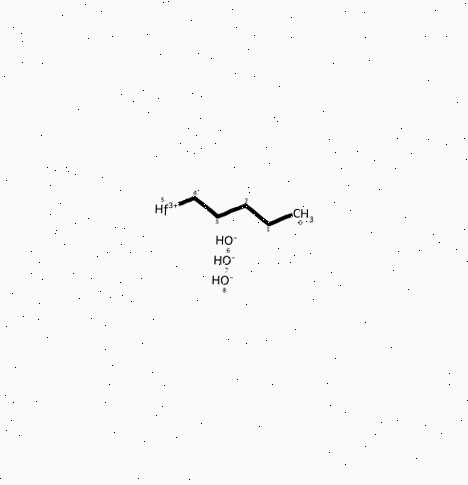 CCCC[CH2][Hf+3].[OH-].[OH-].[OH-]